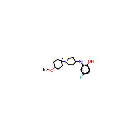 CCO[C@H]1CC[C@](C)(N2CCC(Nc3cc(F)ccc3O)CC2)CC1